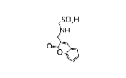 O=c1oc2ccccc2cc1CNCS(=O)(=O)O